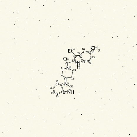 CCc1c(C(=O)N2CCC(N3[CH]Nc4ccccc43)CC2)[nH]c2ccc(C)cc12